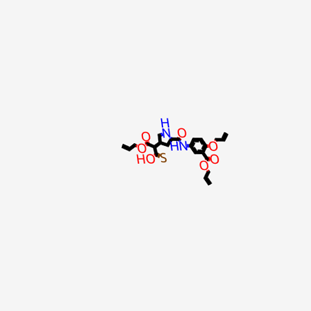 C=CCOC(=O)c1cc(NC(=O)C2CC(C(C(=O)OCC=C)C(O)=S)CN2)ccc1OCC=C